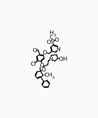 C[C@@H]1C(c2ccccc2)=CC=CC1(COc1cc(OCc2cncc(S(C)(=O)=O)c2)c(C=O)cc1Cl)OCCCN1CCC(O)C1